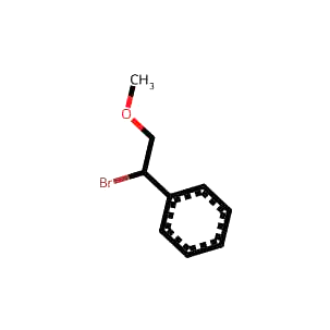 COCC(Br)c1ccccc1